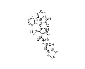 Cc1c(C=C2C(=O)Nc3cccc(-c4ccncc4)c32)[nH]c2c1C(=O)N(C[C@H](O)CN1CCOCC1)CC2